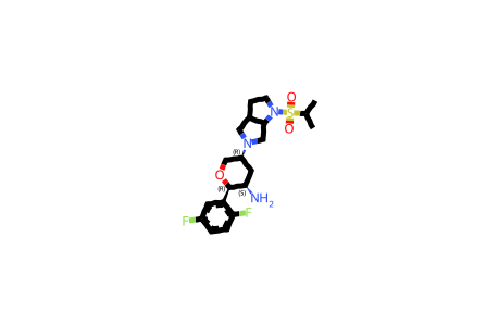 CC(C)S(=O)(=O)N1CCC2CN([C@H]3CO[C@H](c4cc(F)ccc4F)[C@@H](N)C3)CC21